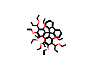 C=COc1c(OCC)c(OCC)c(C2(c3c(OCC)c(OCC)c(OC=C)c(C(CC)OCC)c3OCC)c3ccccc3-c3ccccc32)c(OCC)c1C(CC)OCC